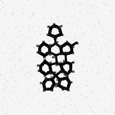 Cc1cc2c3c(c1)N(c1ccccc1)c1ccccc1B3N1c3ccccc3[Si](c3ccccc3)(c3ccccc3)c3cccc-2c31